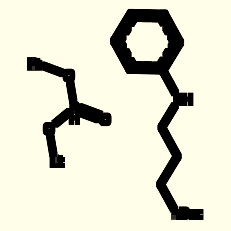 CCCCCCCCCCCCCNc1ccccc1.CCO[PH](=O)OCC